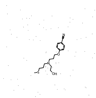 CSCCCN(CCO)CCCOc1ccc(C#N)cc1